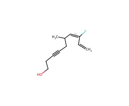 C=C/C(F)=C\C(C)CC#CCCO